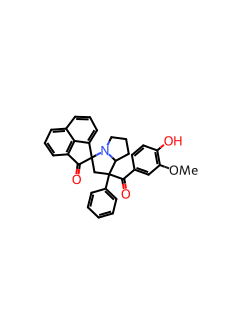 COc1cc(C(=O)C2(c3ccccc3)CC3(C(=O)c4cccc5cccc3c45)N3CCCC32)ccc1O